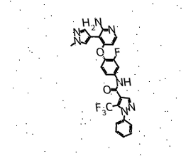 Cn1cc(-c2c(Oc3ccc(NC(=O)c4cnn(-c5ccccc5)c4C(F)(F)F)cc3F)ccnc2N)cn1